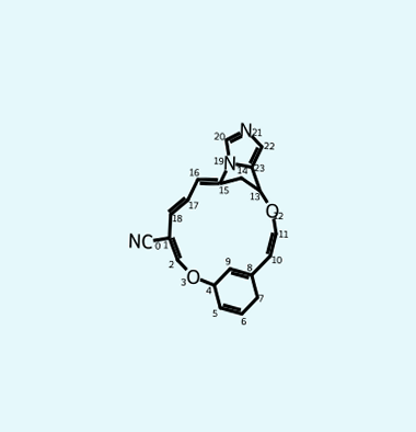 N#CC1=C\OC2C=CCC(=C2)/C=C\OC2C/C(=C/C=C/1)n1cncc12